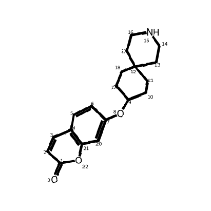 O=c1ccc2ccc(OC3CCC4(CCNCC4)CC3)cc2o1